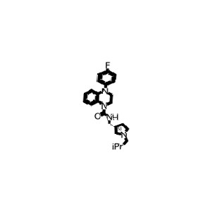 CC(C)CN1CC[C@@H](CNC(=O)N2CCN(c3ccc(F)cc3)c3ccccc32)C1